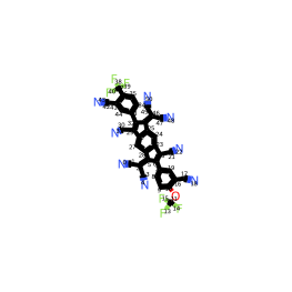 N#CC(C#N)=C1C(c2ccc(OC(F)(F)F)c(C#N)c2)=C(C#N)c2cc3c(cc21)C(C#N)=C(c1ccc(C(F)(F)F)c(C#N)c1)C3=C(C#N)C#N